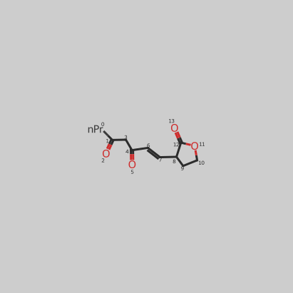 CCCC(=O)CC(=O)/C=C/C1CCOC1=O